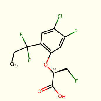 CCC(F)(F)c1cc(Cl)c(F)cc1O[C@@H](CF)C(=O)O